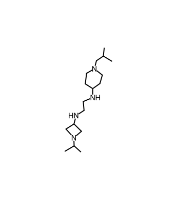 CC(C)CN1CCC(NCCNC2CN(C(C)C)C2)CC1